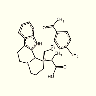 CC(=O)c1ccc(N)cc1.CC[C@@]1(C(C)C(=O)O)CCCN2CCc3c([nH]c4ccccc34)C21